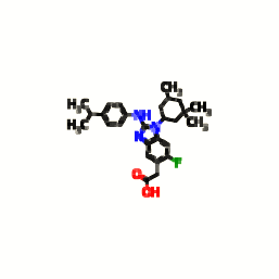 CC1CC(n2c(Nc3ccc(C(C)C)cc3)nc3cc(CC(=O)O)c(F)cc32)CC(C)(C)C1